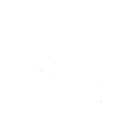 NC(CCCNC1CCCc2cccnc21)Cc1nc2cc(C(F)(F)F)ccc2[nH]1